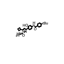 CC(C)NC(=O)n1nc(-c2ccc(NC(=O)c3ccc(C(C)(C)C)cc3)cc2O)cc1C1CCC1